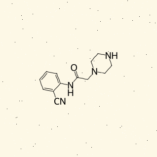 N#Cc1ccccc1NC(=O)CN1CCNCC1